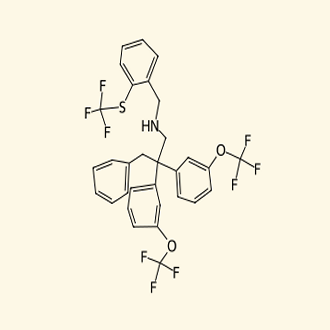 FC(F)(F)Oc1cccc(C(CNCc2ccccc2SC(F)(F)F)(Cc2ccccc2)c2cccc(OC(F)(F)F)c2)c1